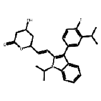 CC(C)c1cc(-c2c(/C=C/C3CC(O)CC(=O)O3)n(C(C)C)c3ccccc23)ccc1F